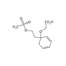 CS(=O)(=O)OCCC1(OCC(=O)O)C=CC=CC1